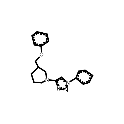 c1ccc(OCC2CCCN(c3cn(-c4ccccc4)nn3)C2)cc1